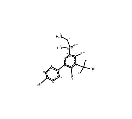 CC(C)(O)c1c(F)c(-c2ccc(F)cc2)nc([C@](O)(F)CN)c1F